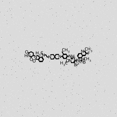 CCc1cc(Nc2ncc(Br)c(Nc3ccc4nc(C)c(F)cc4c3P(C)(C)=O)n2)c(OC)cc1N1CCC2(CCN(CCN(C)c3cccc4c3CN(C3CCC(=O)NC3=O)C4=O)CC2)CC1